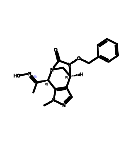 C/C(=N\O)[C@@H]1c2c(cnn2C)[C@H]2CN1C(=O)N2OCc1ccccc1